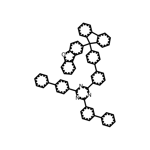 c1ccc(-c2ccc(-c3nc(-c4cccc(-c5ccccc5)c4)nc(-c4cccc(-c5ccc(C6(c7ccc8oc9ccccc9c8c7)c7ccccc7-c7ccccc76)cc5)c4)n3)cc2)cc1